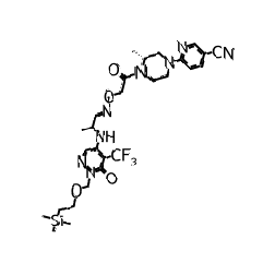 CC(/C=N/OCC(=O)N1CCN(c2ccc(C#N)cn2)C[C@H]1C)Nc1cnn(COCC[Si](C)(C)C)c(=O)c1C(F)(F)F